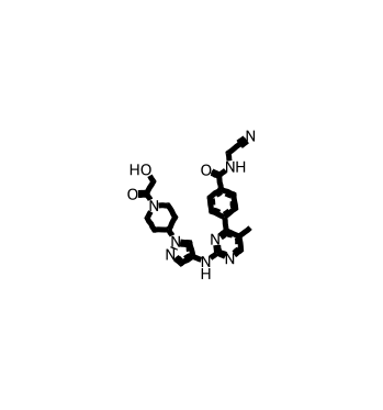 Cc1cnc(Nc2cnn(C3CCN(C(=O)CO)CC3)c2)nc1-c1ccc(C(=O)NCC#N)cc1